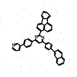 c1cncc(-c2ccc(-c3cc(-c4ccc(-c5ccc6ccccc6c5)cc4)nc(-c4ccc5c6c(cccc46)-c4ccccc4-5)n3)cc2)c1